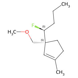 CCC[C@H](F)[C@]1(COC)C=C(C)CC1